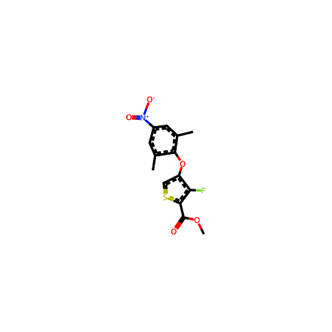 COC(=O)c1scc(Oc2c(C)cc([N+](=O)[O-])cc2C)c1F